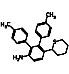 Cc1ccc(-c2c(N)ccc(C3CCCCS3)c2-c2ccc(C)cc2)cc1